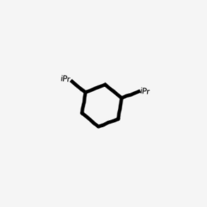 CC(C)C1[CH]C(C(C)C)CCC1